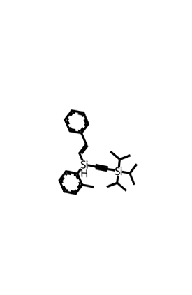 Cc1ccccc1[SiH](C#C[Si](C(C)C)(C(C)C)C(C)C)C=Cc1ccccc1